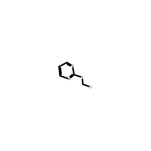 ClCSc1ncccn1